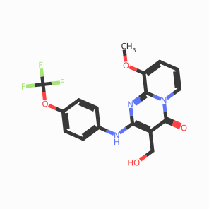 COc1cccn2c(=O)c(CO)c(Nc3ccc(OC(F)(F)F)cc3)nc12